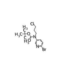 CC(C)(C)OC(=O)N(CCCCl)c1ccc(Br)nc1